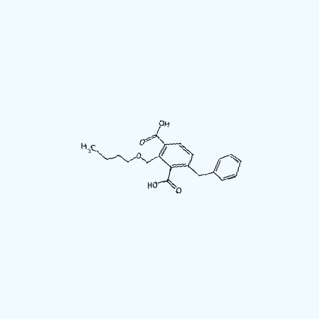 CCCCOCc1c(C(=O)O)ccc(Cc2ccccc2)c1C(=O)O